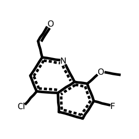 COc1c(F)ccc2c(Cl)cc(C=O)nc12